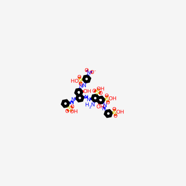 Nc1c(N=Nc2ccc(N=Nc3ccccc3S(=O)(=O)O)c3ccc(N=Nc4ccc([N+](=O)[O-])cc4S(=O)(=O)O)c(O)c23)cc(S(=O)(=O)O)c2cc(S(=O)(=O)O)c(N=Nc3cccc(S(=O)(=O)O)c3)c(O)c12